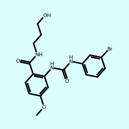 COc1ccc(C(=O)NCCCO)c(NC(=O)Nc2cccc(Br)c2)c1